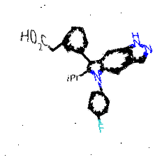 CC(C)c1c(-c2cccc(CC(=O)O)c2)c2cc3[nH]ncc3cc2n1-c1ccc(F)cc1